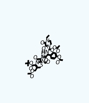 CCN1CCN(C(=O)NC(C(=O)N[C@@H]2C(=O)N3C(C(=O)OC(C)(C)C)=C(COC(C)=O)CSC23NC=O)c2ccc(OC(C)=O)c(OC(C)=O)c2)C(=O)C1=O